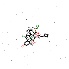 C[C@@H]1C[C@H]2[C@@H]3C[C@H](F)C4=CC(=O)C=C[C@]4(C)C3(F)[C@@H](O)C[C@]2(C)[C@@]1(OC(=O)CC1CCC1)C(=O)SCCl